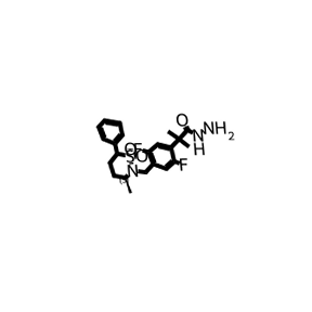 C[C@H]1CCC(c2ccccc2)S(=O)(=O)N1Cc1cc(F)c(C(C)(C)C(=O)NN)cc1F